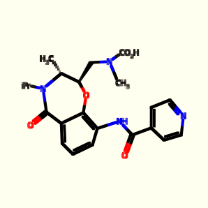 CC(C)N1C(=O)c2cccc(NC(=O)c3ccncc3)c2O[C@H](CN(C)C(=O)O)[C@H]1C